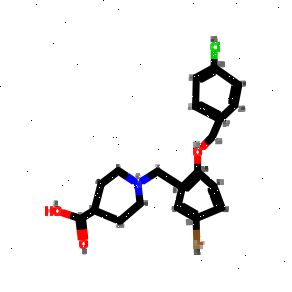 O=C(O)C1CCN(Cc2cc(Br)ccc2OCc2ccc(Cl)cc2)CC1